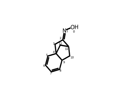 ON=C1CC23C=CC=CC2CC1C3